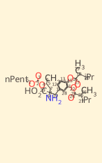 CCCCCOC(=O)O[C@@H](C)CC(N)(Cc1ccc(OC(=O)C(C)C(C)C)c(OC(=O)C(C)C(C)C)c1)C(=O)O